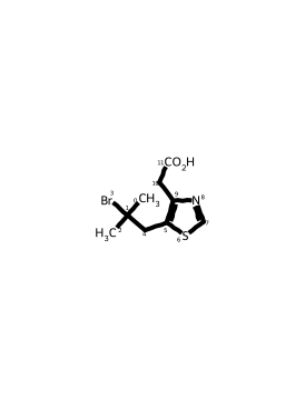 CC(C)(Br)Cc1scnc1CC(=O)O